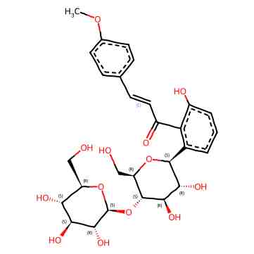 COc1ccc(/C=C/C(=O)c2c(O)cccc2[C@@H]2O[C@H](CO)[C@@H](O[C@@H]3O[C@H](CO)[C@@H](O)[C@H](O)[C@H]3O)[C@H](O)[C@H]2O)cc1